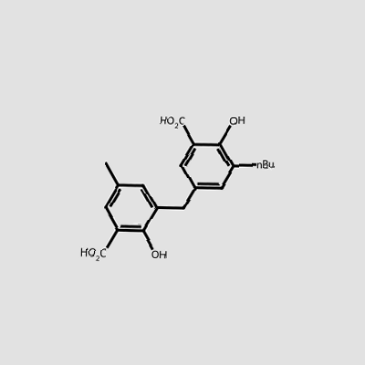 CCCCc1cc(Cc2cc(C)cc(C(=O)O)c2O)cc(C(=O)O)c1O